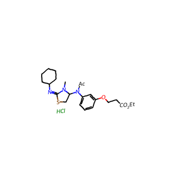 CCOC(=O)CCOc1cccc(N(C(C)=O)C2CSC(=NC3CCCCC3)N2C)c1.Cl